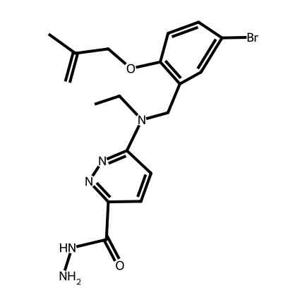 C=C(C)COc1ccc(Br)cc1CN(CC)c1ccc(C(=O)NN)nn1